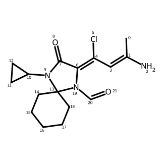 C/C(N)=C\C(Cl)=C1\C(=O)N(C2CC2)C2(CCCCC2)N1C=O